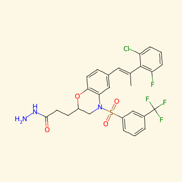 CC(=Cc1ccc2c(c1)N(S(=O)(=O)c1cccc(C(F)(F)F)c1)CC(CCC(=O)NN)O2)c1c(F)cccc1Cl